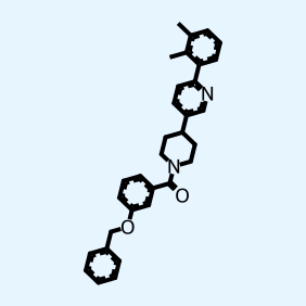 Cc1cccc(-c2ccc(C3CCN(C(=O)c4cccc(OCc5ccccc5)c4)CC3)cn2)c1C